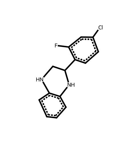 Fc1cc(Cl)ccc1C1CNc2ccccc2N1